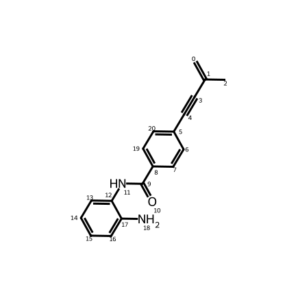 C=C(C)C#Cc1ccc(C(=O)Nc2ccccc2N)cc1